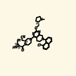 CC(C)[C@@H]1N[C@@H]1C(=O)N1CCN(c2nc(OC[C@@H]3CCCN3C)nc3c2CCN(c2cccc4cccc(Cl)c24)C3)C[C@@H]1CC#N